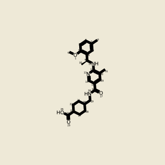 COc1ccc(C)cc1[C@H](C)Nc1ncc(C(=O)NCC2CCC(C(=O)O)CC2)cc1C